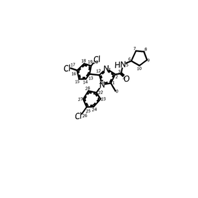 Cc1c(C(=O)NC2CCCC2)nc(-c2ccc(Cl)cc2Cl)n1-c1ccc(Cl)cc1